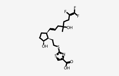 CC(O)(C/C=C/[C@@H]1CC[C@H](O)[C@@H]1CCSc1nc(C(=O)O)cs1)CCC(F)=C(F)F